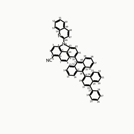 N#Cc1ccc2c3c1ccc1c(-c4c5ccccc5c(-c5ccc(-c6ccccc6)c6ccccc56)c5ccccc45)ccc(c13)n2-c1ccc2ccccc2n1